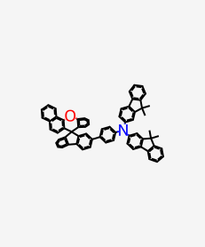 CC1(C)c2ccccc2-c2ccc(N(c3ccc(-c4ccc5c(c4)C4(c6ccccc6Oc6c4ccc4ccccc64)c4ccccc4-5)cc3)c3ccc4c(c3)C(C)(C)c3ccccc3-4)cc21